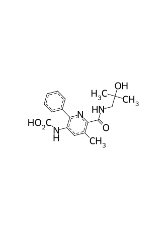 Cc1cc(NC(=O)O)c(-c2ccccc2)nc1C(=O)NCC(C)(C)O